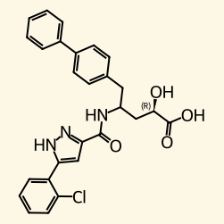 O=C(NC(Cc1ccc(-c2ccccc2)cc1)C[C@@H](O)C(=O)O)c1cc(-c2ccccc2Cl)[nH]n1